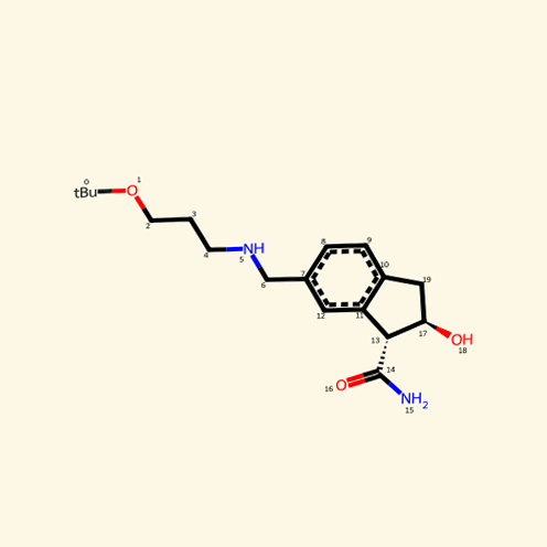 CC(C)(C)OCCCNCc1ccc2c(c1)[C@@H](C(N)=O)[C@H](O)C2